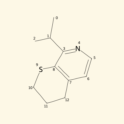 CC(C)c1nccc2c1SCCC2